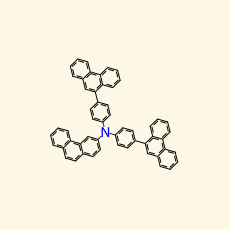 c1ccc2c(c1)ccc1ccc(N(c3ccc(-c4cc5ccccc5c5ccccc45)cc3)c3ccc(-c4cc5ccccc5c5ccccc45)cc3)cc12